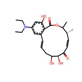 CCN(CC)c1cc(O)c2c(c1)/C=C/CC(O)[C@H](O)C(=O)/C=C\[C@@H](C)C(C)OC2=O